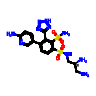 NC[C@@H](N)CNS(=O)(=O)c1ccc(-c2ccc(N)nc2)c(-c2nn[nH]n2)c1S(N)(=O)=O